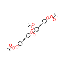 C=C(C)C(=O)OCOc1ccc(C#Cc2ccc(OC(=O)c3ccc(C#Cc4ccc(OCOC(=O)C(=C)C)cc4)cc3OC(=O)C(=C)C)cc2)cc1